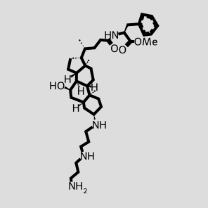 COC(=O)[C@H](Cc1ccccc1)NC(=O)CC[C@@H](C)[C@H]1CC[C@H]2[C@@H]3[C@H](O)C[C@@H]4C[C@@H](NCCCNCCCN)CC[C@]4(C)[C@H]3CC[C@]12C